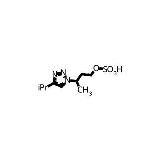 CC(C)c1cn(C(C)CCOS(=O)(=O)O)nn1